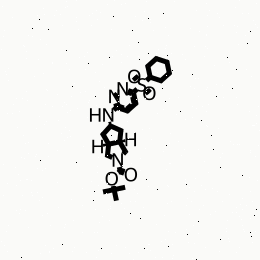 CC(C)(C)OC(=O)N1C[C@H]2C[C@H](Nc3ccc(S(=O)(=O)C4CCCCC4)nn3)C[C@H]2C1